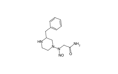 NC(=O)CN(N=O)N1CCNC(Cc2ccccc2)C1